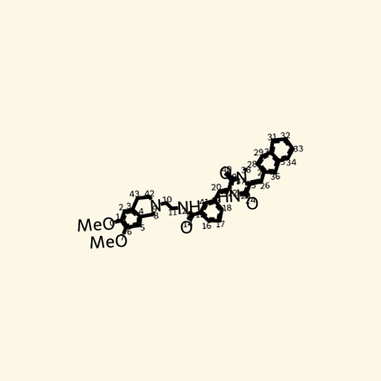 COc1cc2c(cc1OC)CN(CCNC(=O)c1cccc(C=c3[nH]c(=O)c(=Cc4ccc5ccccc5c4)n(C)c3=O)c1)CC2